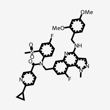 COc1ccc(CNc2nc3cc(CN(C(=O)c4ccc(C5CC5)nc4)c4ccc(F)cc4S(C)(=O)=O)cc(F)c3c3c2cnn3C)c(OC)c1